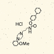 COc1ccccc1N1CCN(CCCNC(=O)Oc2ccc(-c3ccccc3)cc2)CC1.Cl